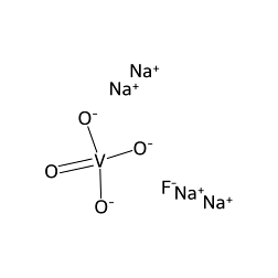 [F-].[Na+].[Na+].[Na+].[Na+].[O]=[V]([O-])([O-])[O-]